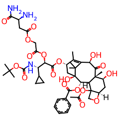 CC(=O)OC12CO[C@@H]1C[C@H](O)[C@@]1(C)C(=O)[C@H](O)C3=C(C)[C@@H](OC(=O)[C@H](OC(=O)COC(=O)C[C@H](N)C(N)=O)[C@@H](NC(=O)OC(C)(C)C)C4CC4)C[C@@](O)([C@@H](OC(=O)c4ccccc4)[C@H]21)C3(C)C